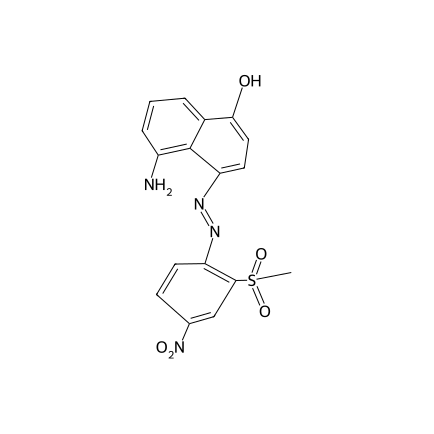 CS(=O)(=O)c1cc([N+](=O)[O-])ccc1N=Nc1ccc(O)c2cccc(N)c12